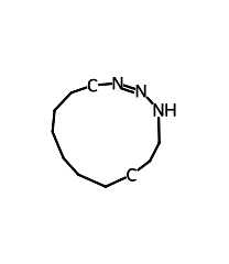 C1CCCCCNN=NCCCC1